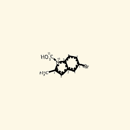 Cc1cc2cc(Br)ccc2n1C(=O)O